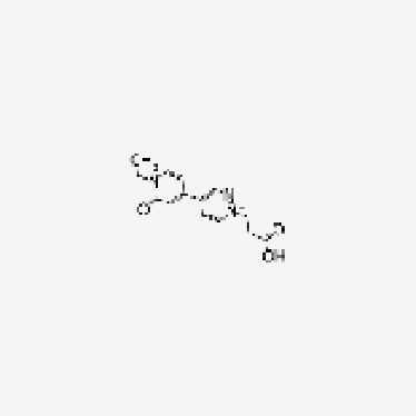 CCn1ccc(-c2cc[n+](CCC(=O)O)nc2)cc1=O